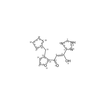 O=C(C=C(O)c1nc[nH]n1)c1occc1Cc1cccs1